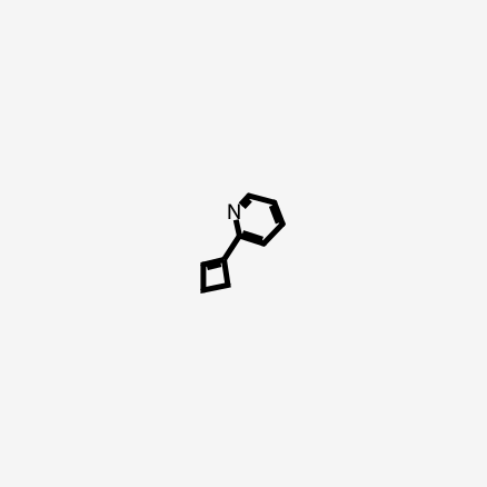 C1=C(c2ccccn2)CC1